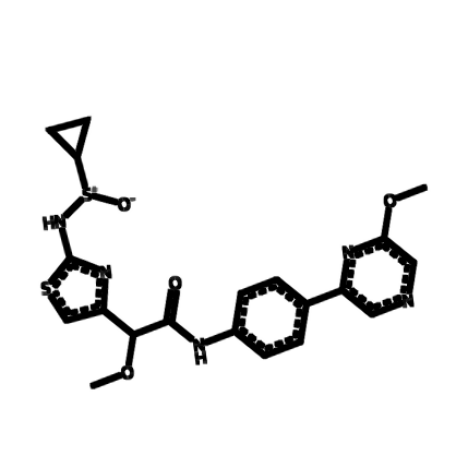 COc1cncc(-c2ccc(NC(=O)C(OC)c3csc(N[S+]([O-])C4CC4)n3)cc2)n1